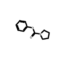 O=C(Oc1[c]cccc1)N1CCCC1